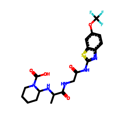 CC(NC1CCCCN1C(=O)O)C(=O)NCC(=O)Nc1nc2ccc(OC(F)(F)F)cc2s1